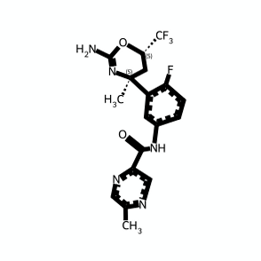 Cc1cnc(C(=O)Nc2ccc(F)c([C@]3(C)C[C@@H](C(F)(F)F)OC(N)=N3)c2)cn1